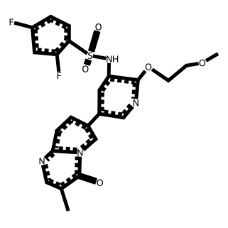 COCCOc1ncc(-c2ccc3ncc(C)c(=O)n3c2)cc1NS(=O)(=O)c1ccc(F)cc1F